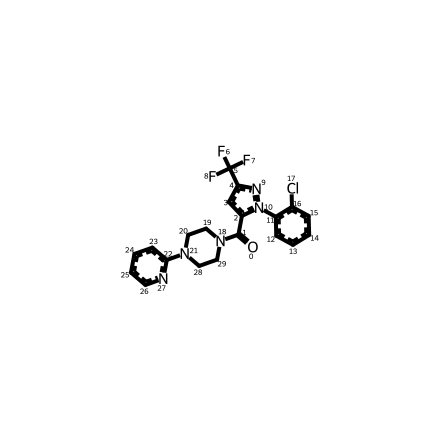 O=C(c1cc(C(F)(F)F)nn1-c1ccccc1Cl)N1CCN(c2ccccn2)CC1